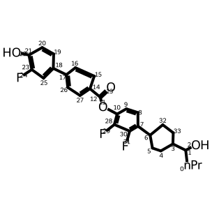 CCCC(O)C1CCC(c2ccc(OC(=O)c3ccc(-c4ccc(O)c(F)c4)cc3)c(F)c2F)CC1